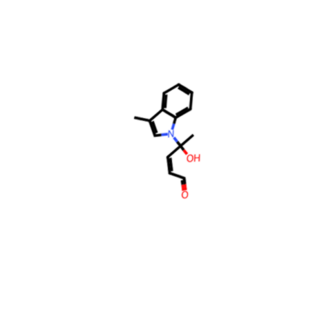 Cc1cn(C(C)(O)/C=C\C=O)c2ccccc12